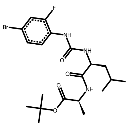 CC(C)C[C@H](NC(=O)Nc1ccc(Br)cc1F)C(=O)N[C@@H](C)C(=O)OC(C)(C)C